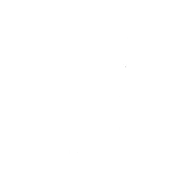 CCC(C)CC(C)Oc1cccc(C)n1